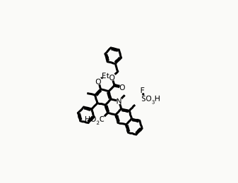 CCOC1=C(C)C(c2ccccc2)C2=C(C(=O)O)c3cc4ccccc4c(C)c3N(C)C2=C1C(=O)OCc1ccccc1.O=S(=O)(O)F